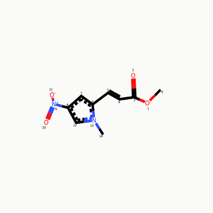 COC(=O)/C=C/c1cc([N+](=O)[O-])cn1C